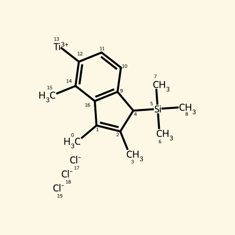 CC1=C(C)C([Si](C)(C)C)c2cc[c]([Ti+3])c(C)c21.[Cl-].[Cl-].[Cl-]